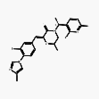 Cc1cn(-c2ccc(C=C3OC(C)CN([C@@H](C)c4ccc(F)nc4F)C3=O)cc2F)cn1